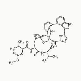 COC(=O)O[C@H](C(=O)N[C@H]1Cc2ccc3c(c2)[C@]24c5cccc(c5NC2O3)-c2cccc3[nH]cc(c23)-c2cnc(o2)-c2nc(oc24)[C@H](C(C)C)NC1=O)C(C)C